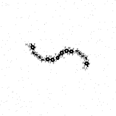 C=Cc1c(F)c(F)c(OCC(F)(F)OC(F)(F)C(F)(F)OC(F)(F)C(F)(F)OC(F)(F)COc2c(F)c(F)c(-c3c(F)c(F)c(Oc4ccc(C(c5ccc(Oc6c(F)c(F)c(-c7c(F)c(F)c(OCC(F)(F)OC(F)(F)C(F)(F)OC(F)(F)C(F)(F)OC(F)(F)COc8c(F)c(F)c(C=C)c(F)c8F)c(F)c7F)c(F)c6F)cc5)(C(F)(F)F)C(F)(F)F)cc4)c(F)c3F)c(F)c2F)c(F)c1F